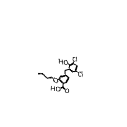 CCCCOc1cc(Cc2cc(Cl)cc(Cl)c2O)ccc1C(=O)O